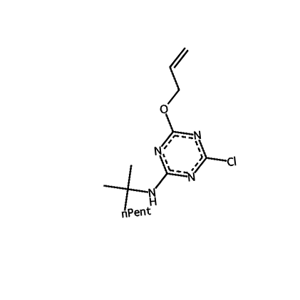 C=CCOc1nc(Cl)nc(NC(C)(C)CCCCC)n1